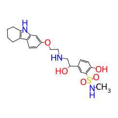 CNS(=O)(=O)c1cc(C(O)CNCCOc2ccc3c4c([nH]c3c2)CCCC4)ccc1O